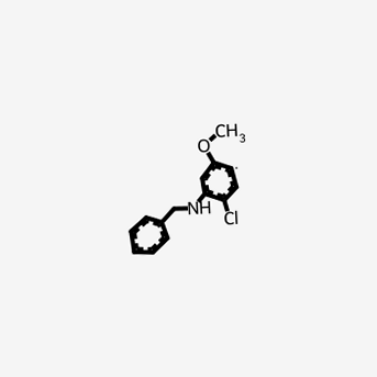 COc1[c]cc(Cl)c(NCc2ccccc2)c1